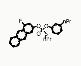 CCCSP(=O)(Oc1cccc(CCC)c1)Oc1cc(F)c2cc3ccccc3cc2c1